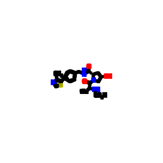 Cc1ncsc1-c1ccc(CNC(=O)[C@@H]2C[C@@H](O)CN2C(=O)[C@@H](NC(=O)O)C(C)(C)C)cc1